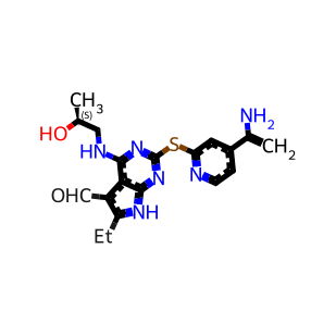 C=C(N)c1ccnc(Sc2nc(NC[C@H](C)O)c3c(C=O)c(CC)[nH]c3n2)c1